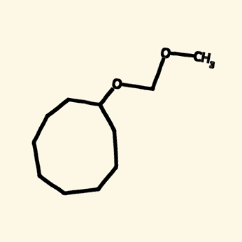 COCOC1CCCCCCCC1